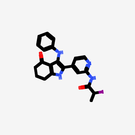 CC(I)C(=O)Nc1cc(-c2[nH]c3c(c2Nc2ccccc2)C(=O)CCC3)ccn1